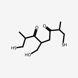 CC(CS)C(=O)CC(CO)C(=O)C(C)CS